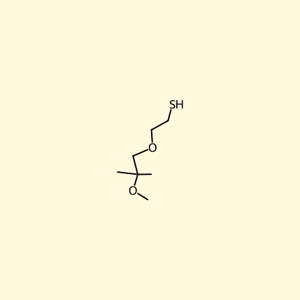 COC(C)(C)COCCS